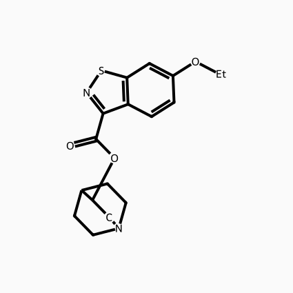 CCOc1ccc2c(C(=O)OC3CN4CCC3CC4)nsc2c1